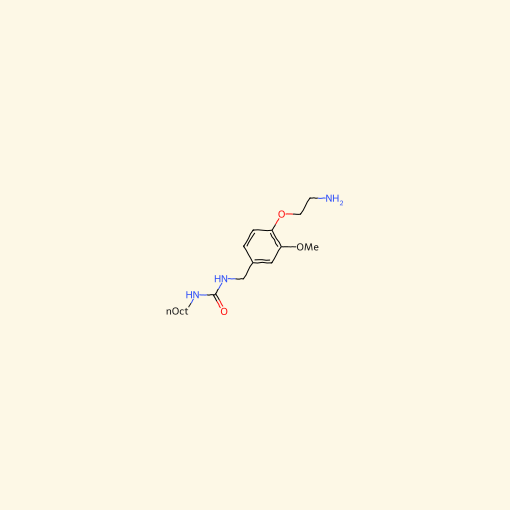 CCCCCCCCNC(=O)NCc1ccc(OCCN)c(OC)c1